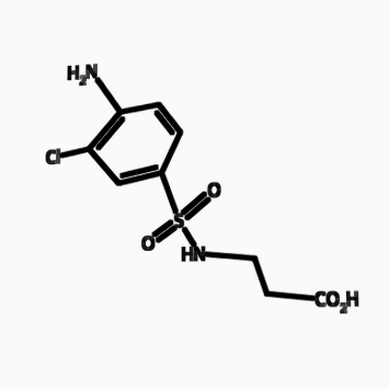 Nc1ccc(S(=O)(=O)NCCC(=O)O)cc1Cl